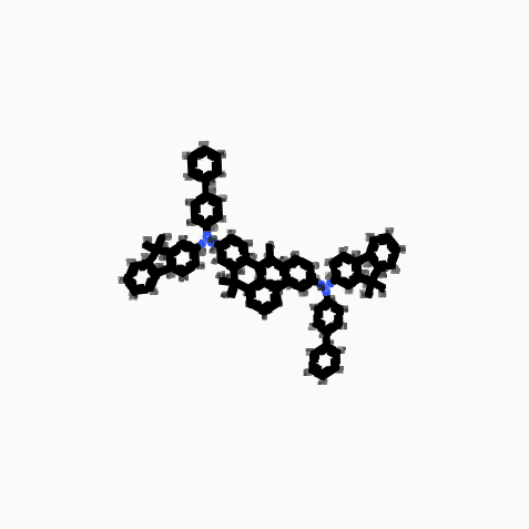 Cc1c2c3c(cccc3c3cc(N(c4ccc(-c5ccccc5)cc4)c4ccc5c(c4)C(C)(C)c4ccccc4-5)ccc13)C(C)(C)c1cc(N(c3ccc(-c4ccccc4)cc3)c3ccc4c(c3)C(C)(C)c3ccccc3-4)ccc1-2